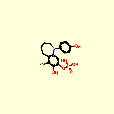 O=P(O)(O)Oc1cc2c(c(Cl)c1O)CCCCN2c1ccc(O)cc1